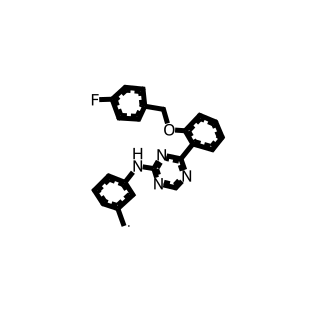 [CH2]c1cccc(Nc2ncnc(-c3ccccc3OCc3ccc(F)cc3)n2)c1